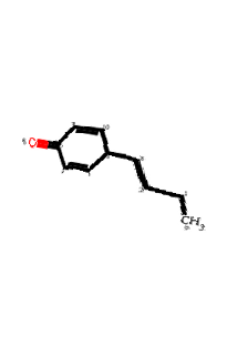 CCCCC1C=CC(=O)C=C1